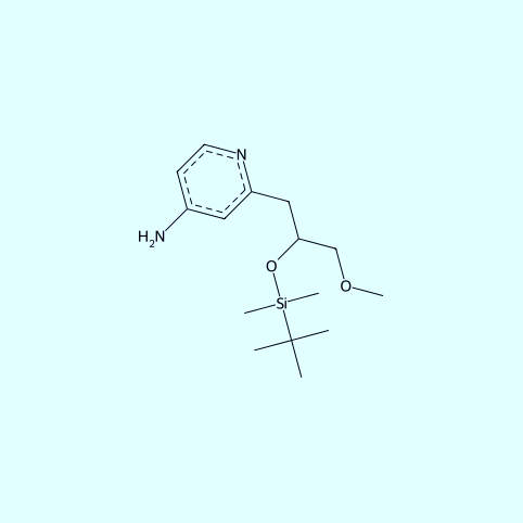 COCC(Cc1cc(N)ccn1)O[Si](C)(C)C(C)(C)C